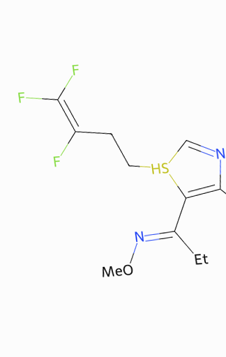 CC/C(=N\OC)C1=C(C)N=C[SH]1CCC(F)=C(F)F